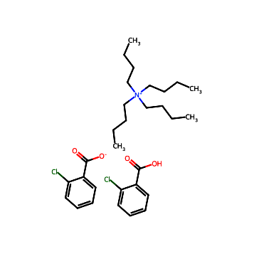 CCCC[N+](CCCC)(CCCC)CCCC.O=C(O)c1ccccc1Cl.O=C([O-])c1ccccc1Cl